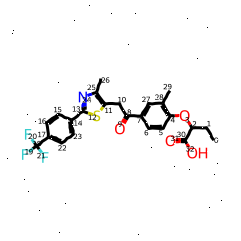 CCC(Oc1ccc(C(=O)Cc2sc(-c3ccc(C(F)(F)F)cc3)nc2C)cc1C)C(=O)O